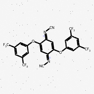 N#C/N=C1C=C(Oc2cc(C(F)(F)F)cc(C(F)(F)F)c2)/C(=N/C#N)C=C\1Oc1cc(C(F)(F)F)cc(C(F)(F)F)c1